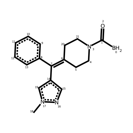 BC(=O)N1CCC(=C(c2ccccc2)c2cnn(C)c2)CC1